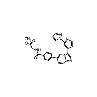 COC(=O)CNC(=O)c1ccc(-c2ccc3ncc(-c4ccnc(-n5cccn5)c4)n3c2)cc1